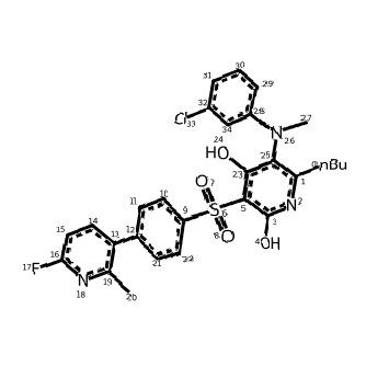 CCCCc1nc(O)c(S(=O)(=O)c2ccc(-c3ccc(F)nc3C)cc2)c(O)c1N(C)c1cccc(Cl)c1